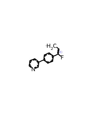 [CH2]/C=C(/F)c1ccc(-c2cccnc2)cc1